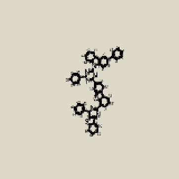 c1ccc(-c2ccc3c(c2)c2ccccc2n3-c2nc(-c3ccccc3)nc(-c3ccc4c(c3)oc3c(-c5nc(-c6ccccc6)c6sc7ccccc7c6n5)cccc34)n2)cc1